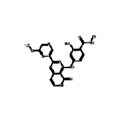 CNC(=O)c1ccc(Nc2nc(-c3cncc(OC)n3)cc3cc[nH]c(=O)c23)cc1C